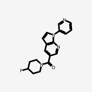 O=C(c1cnc2c(ccn2-c2cccnc2)c1)N1CCC(F)CC1